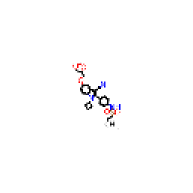 CCCS(=O)(=O)Nc1ccc(-c2c(C#N)c3cc(OCC4COCO4)ccc3n2C2CCC2)cc1